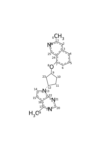 Cc1cc2cccc(OC3CC[C@H](n4ccc5c(C)ncnc54)C3)c2cn1